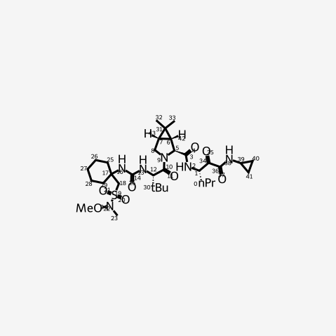 CCC[C@H](NC(=O)[C@@H]1[C@@H]2[C@H](CN1C(=O)[C@@H](NC(=O)NC1(CS(=O)(=O)N(C)OC)CCCCC1)C(C)(C)C)C2(C)C)C(=O)C(=O)NC1CC1